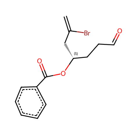 C=C(Br)C[C@H](CCC=O)OC(=O)c1ccccc1